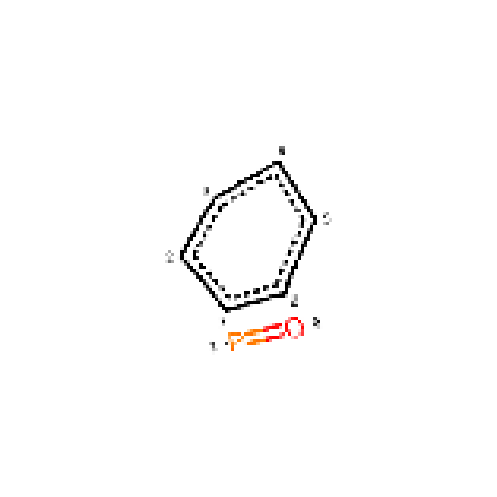 O=[P].c1ccccc1